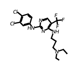 CCN(CC)CCCNc1nc(Nc2ccc(Cl)c(Cl)c2)ncc1C(F)(F)F